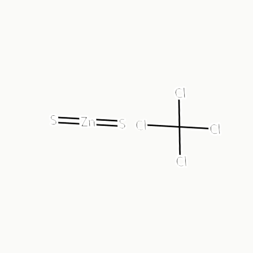 ClC(Cl)(Cl)Cl.[S]=[Zn]=[S]